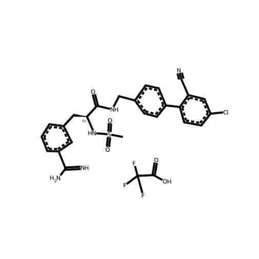 CS(=O)(=O)N[C@@H](Cc1cccc(C(=N)N)c1)C(=O)NCc1ccc(-c2ccc(Cl)cc2C#N)cc1.O=C(O)C(F)(F)F